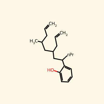 C=CCC(C)CC(CC=C)CC(CCC)c1ccccc1O